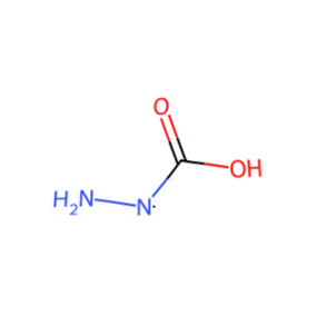 N[N]C(=O)O